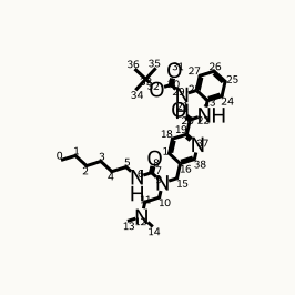 CCCCCCNC(=O)N(CCN(C)C)Cc1ccc(C(=O)Nc2ccccc2NC(=O)OC(C)(C)C)nc1